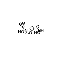 C[C@H]1COc2cc(C3OC3NO)ccc2CN1C(O)C1CS(=O)(=O)C1